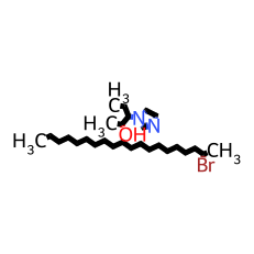 CCC(C(C)O)N1C=NCC1.CCCCCCCCCCCCCCCCCCC(C)Br